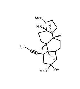 CC#CC1CC(O)(OC)CC2CC[C@@H]3[C@@H](CC[C@]4(C)C(OC)CC[C@@H]34)[C@@]12C